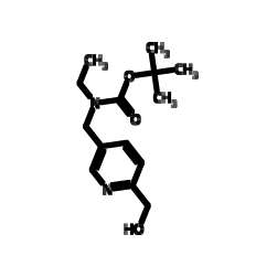 CCN(Cc1ccc(CO)nc1)C(=O)OC(C)(C)C